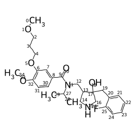 COCCCOc1cc(C(=O)N(CC2CNCC2(O)Cc2ccccc2F)C(C)C)ccc1OC